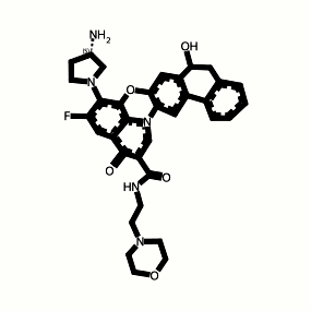 N[C@H]1CCN(c2c(F)cc3c(=O)c(C(=O)NCCN4CCOCC4)cn4c3c2Oc2cc3c(cc2-4)-c2ccccc2CC3O)C1